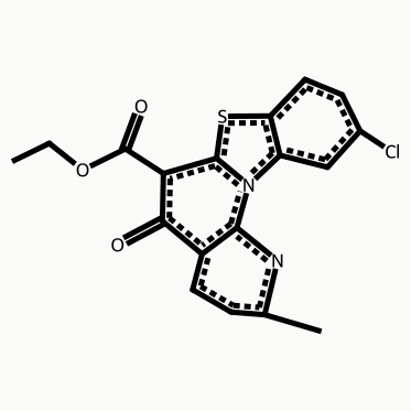 CCOC(=O)c1c(=O)c2ccc(C)nc2n2c1sc1ccc(Cl)cc12